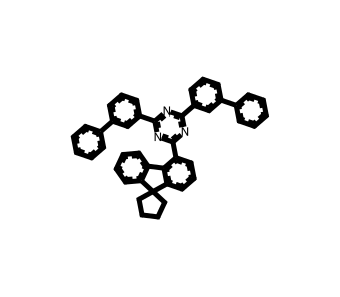 c1ccc(-c2cccc(-c3nc(-c4cccc(-c5ccccc5)c4)nc(-c4cccc5c4-c4ccccc4C54CCCC4)n3)c2)cc1